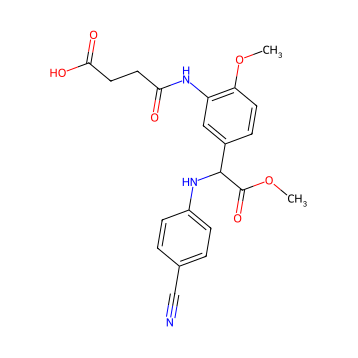 COC(=O)C(Nc1ccc(C#N)cc1)c1ccc(OC)c(NC(=O)CCC(=O)O)c1